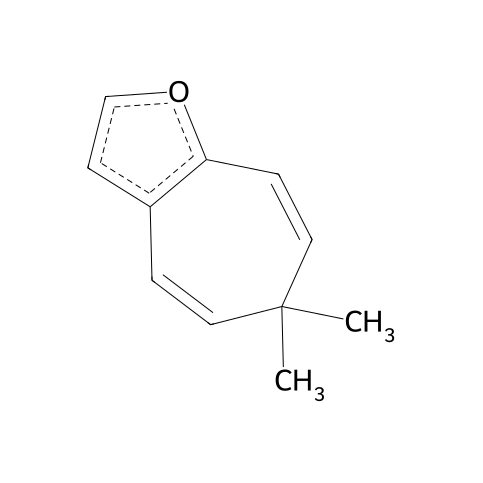 CC1(C)C=Cc2ccoc2C=C1